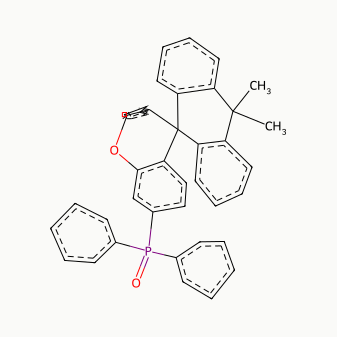 CC1(C)c2ccccc2C2(c3ccccc3Oc3cc(P(=O)(c4ccccc4)c4ccccc4)ccc32)c2ccccc21